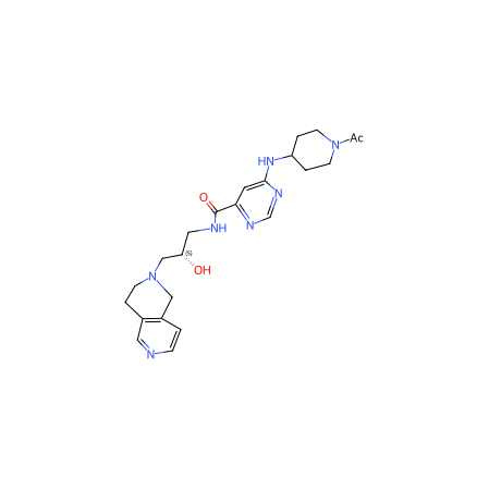 CC(=O)N1CCC(Nc2cc(C(=O)NC[C@H](O)CN3CCc4cnccc4C3)ncn2)CC1